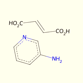 Nc1cccnc1.O=C(O)C=CC(=O)O